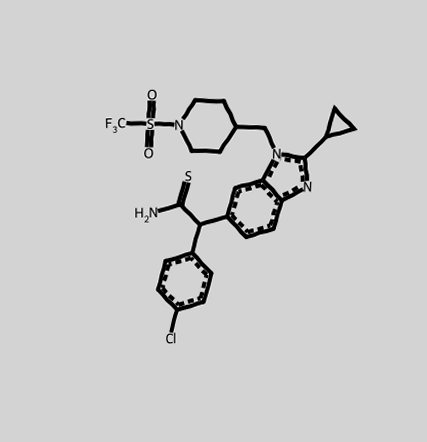 NC(=S)C(c1ccc(Cl)cc1)c1ccc2nc(C3CC3)n(CC3CCN(S(=O)(=O)C(F)(F)F)CC3)c2c1